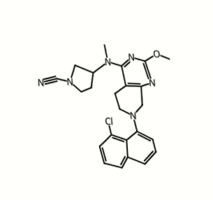 COc1nc2c(c(N(C)C3CCN(C#N)C3)n1)CCN(c1cccc3cccc(Cl)c13)C2